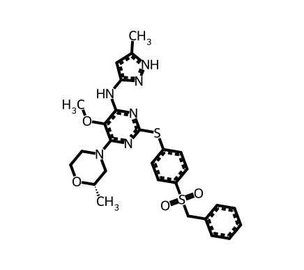 COc1c(Nc2cc(C)[nH]n2)nc(Sc2ccc(S(=O)(=O)Cc3ccccc3)cc2)nc1N1CCO[C@@H](C)C1